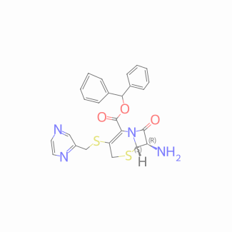 N[C@@H]1C(=O)N2C(C(=O)OC(c3ccccc3)c3ccccc3)=C(SCc3cnccn3)CS[C@@H]12